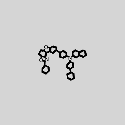 c1ccc(-c2ccc(N(c3ccc(-c4ccc5oc6ccc7oc(-c8ccccc8)nc7c6c5c4)cc3)c3ccc4ccccc4c3)cc2)cc1